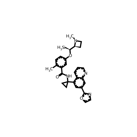 Cc1ccc(O[C@@H]([SiH3])[C@@H]2CCN2C)cc1C(=O)NC1(c2cc(-c3ncco3)cc3ncccc23)CC1